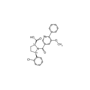 COc1cc(C(=O)N2[C@@H](c3ccccc3Cl)CC[C@H]2C(=O)O)cnc1-c1ccccc1